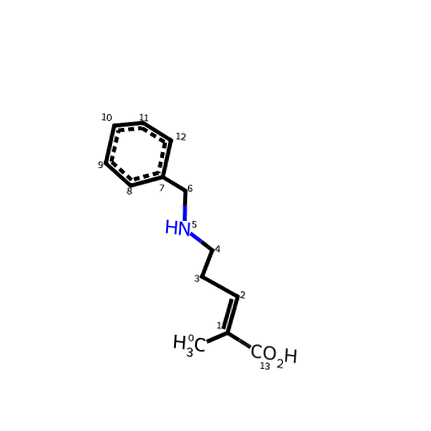 CC(=CCCNCc1ccccc1)C(=O)O